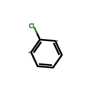 Clc1[c]ccc[c]1